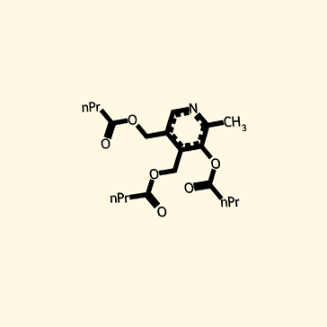 CCCC(=O)OCc1cnc(C)c(OC(=O)CCC)c1COC(=O)CCC